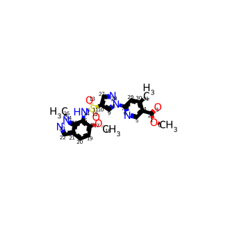 COC(=O)c1cnc(-n2cc(S(=O)(=O)Nc3c(OC)ccc4cnn(C)c34)cn2)cc1C